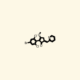 COC1=C(c2c(Cl)cc(Br)cc2Cl)C(=O)C(=Cc2ccccn2)C1